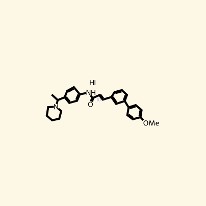 COc1ccc(-c2cccc(/C=C/C(=O)Nc3ccc(C(C)N4CCCCC4)cc3)c2)cc1.I